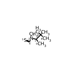 CC(N(C)[C]=S)C(C)(C)C